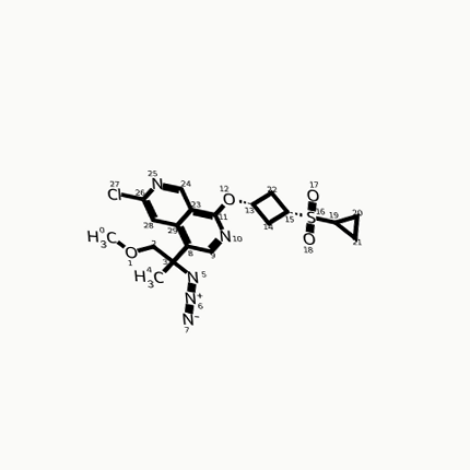 COCC(C)(N=[N+]=[N-])c1cnc(O[C@H]2C[C@@H](S(=O)(=O)C3CC3)C2)c2cnc(Cl)cc12